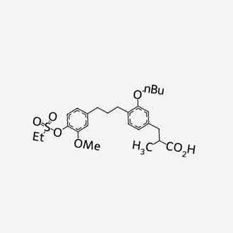 CCCCOc1cc(CC(C)C(=O)O)ccc1CCCc1ccc(OS(=O)(=O)CC)c(OC)c1